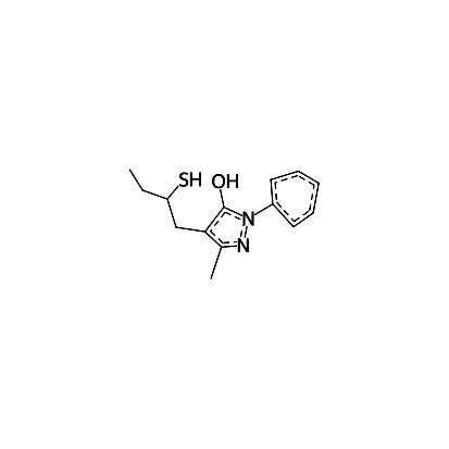 CCC(S)Cc1c(C)nn(-c2ccccc2)c1O